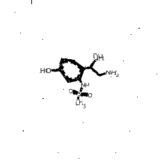 CS(=O)(=O)Nc1cc(O)ccc1C(O)CN